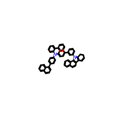 C1=Cc2c(n(-c3cccc(-c4ccc(N(c5ccc(-c6cccc7ccccc67)cc5)c5ccccc5-c5ccccc5)cc4)c3)c3c2ccc2ccccc23)CC1